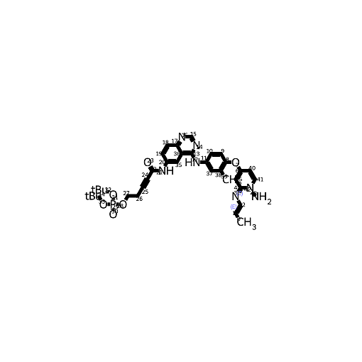 C/C=C/N=c1/cc(Oc2ccc(Nc3ncnc4ccc(NC(=O)C#CCCOP(=O)(OC(C)(C)C)OC(C)(C)C)cc34)cc2C)ccn1N